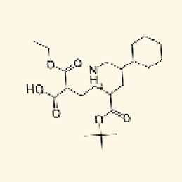 CCOC(=O)C(CCC(CC(CN)C1CCCCC1)C(=O)OC(C)(C)C)C(=O)O